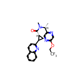 C[C@H](c1cnc(OCC(F)(F)F)cn1)N(C)C(=O)[C@@H]1CC1c1ccc2ccccc2n1